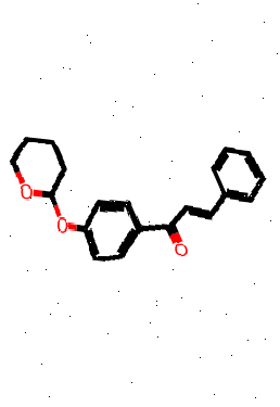 O=C(/C=C/c1ccccc1)c1ccc(OC2CCCCO2)cc1